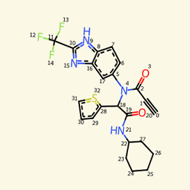 C#CC(=O)N(c1ccc2[nH]c(C(F)(F)F)nc2c1)C(C(=O)NC1CCCCC1)c1cccs1